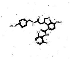 COc1ccc(CNC(=O)CC2COc3c(OC)ccc(C(=O)Nc4c(Cl)cncc4Cl)c32)cc1